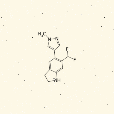 Cn1cc(-c2cc3c(cc2C(F)F)NCC3)cn1